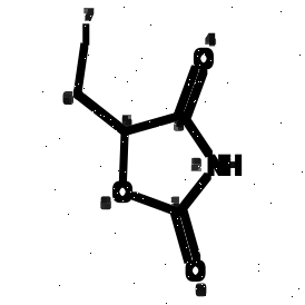 O=C1NC(=O)C(CI)O1